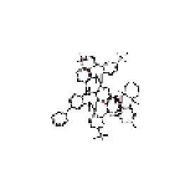 Cc1cc(C)c2c(c1)C1(C)CCCCC1(C)N2c1cc2c3c(c1)N(c1ccc(C(C)(C)C)cc1-c1ccccc1)c1cc(C(C)(C)C)ccc1B3c1ccc(-c3ccccc3)cc1N2c1ccc(C(C)(C)C)cc1-c1ccccc1